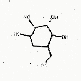 OCC1CC(O)[C@@H](O)[C@H](O)C1O